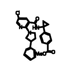 COC(=O)c1ccc(C2(NC(=O)c3cc(Cl)cnc3N3CCC(c4ccccc4)C3)CC2)cc1